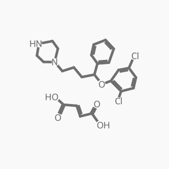 Clc1ccc(Cl)c(OC(CCCN2CCNCC2)c2ccccc2)c1.O=C(O)/C=C/C(=O)O